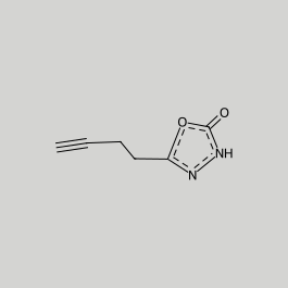 C#CCCc1n[nH]c(=O)o1